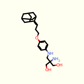 NC(CO)(CO)CNc1ccc(OCCC=C2C3CC4CC(C3)CC2C4)cc1